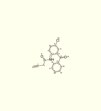 C#CCC(=O)Nc1ccc(Cl)cc1C(=O)c1ccccc1